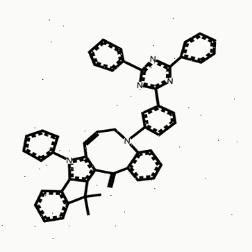 C=C1c2ccccc2N(c2cccc(-c3nc(-c4ccccc4)nc(-c4ccccc4)n3)c2)C/C=C\c2c1c1c(n2-c2ccccc2)-c2ccccc2C1(C)C